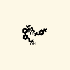 CN(CC(O)CNC(C)(C)Cc1ccc(C(C)(C)C)cc1)S(=O)(=O)c1cccc(-c2cccc(CCC(=O)O)c2)c1